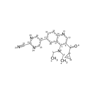 CCN(CC)c1c(C(=O)C2CC2)cnc2ccc(-c3cnc(C#N)nc3)cc12